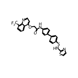 O=C(COc1ccnc2c(C(F)(F)F)cccc12)Nc1ccc(-c2ccc(SNc3nccs3)cc2)cc1